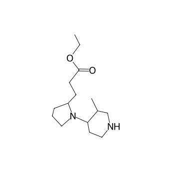 CCOC(=O)CCC1CCCN1C1CCNCC1C